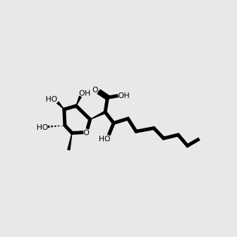 CCCCCCCC(O)C(C(=O)O)[C@H]1O[C@@H](C)[C@H](O)[C@@H](O)[C@H]1O